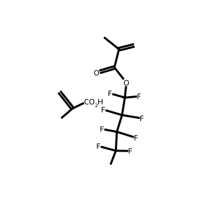 C=C(C)C(=O)O.C=C(C)C(=O)OC(F)(F)C(F)(F)C(F)(F)C(C)(F)F